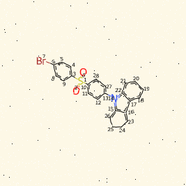 O=S(=O)(c1ccc(Br)cc1)c1ccc(-n2c3c(c4ccccc42)=CCCC=3)cc1